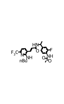 CCCCNc1nc(C(F)(F)F)ccc1C=CC(=O)NC(C)c1ccc(NS(C)(=O)=O)c(F)c1